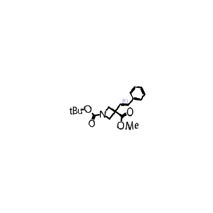 COC(=O)C1(/C=C/c2ccccc2)CN(C(=O)OC(C)(C)C)C1